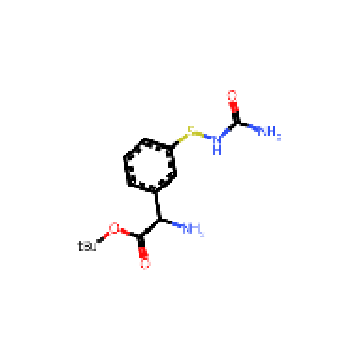 CC(C)(C)OC(=O)C(N)c1cccc(SNC(N)=O)c1